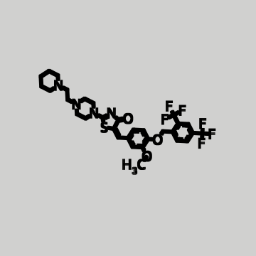 COc1cc(C=C2SC(N3CCN(CCN4CCCCC4)CC3)=NC2=O)ccc1OCc1ccc(C(F)(F)F)cc1C(F)(F)F